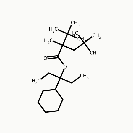 CCC(CC)(OC(=O)C(C)(CC(C)(C)C)C(C)(C)C)C1CCCCC1